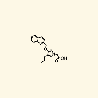 CCCc1cn(CC(=O)O)nc1OCc1ccc2ccccc2n1